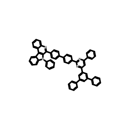 c1ccc(-c2cc(-c3ccccc3)cc(-c3cc(-c4ccccc4)nc(-c4ccc(-c5ccc(-c6nc7ccccc7c7c8ccccc8n(-c8ccccc8)c67)cc5)cc4)n3)c2)cc1